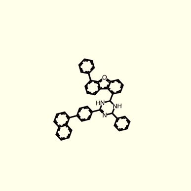 c1ccc(-c2cccc3c2oc2cccc(C4NC(c5ccc(-c6cccc7ccccc67)cc5)=NC(c5ccccc5)N4)c23)cc1